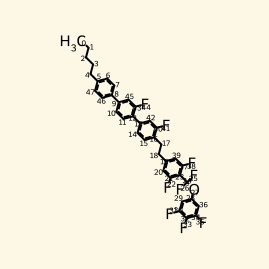 CCCCCc1ccc(-c2ccc(-c3ccc(CCc4cc(F)c(C(F)(F)Oc5cc(F)c(F)c(F)c5)c(F)c4)c(F)c3)c(F)c2)cc1